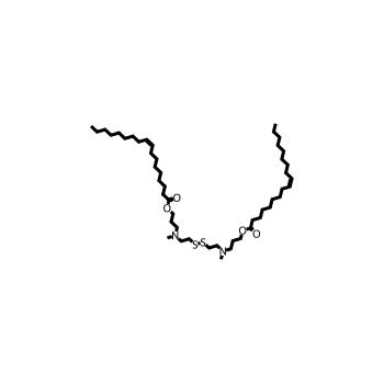 CCCCCCCC/C=C\CCCCCCCC(=O)OCCCN(C)CCSSCCN(C)CCCOC(=O)CCCCCCC/C=C\CCCCCCCC